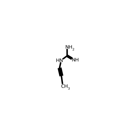 CC#CNC(=N)N